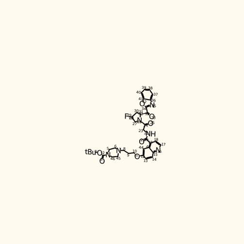 CC(C)(C)OC(=O)N1CCN(CCCOc2ccc3nccc(C(=O)NCC(=O)N4C[C@@H](F)C[C@H]4C(=O)c4nc5ccccc5o4)c3c2)CC1